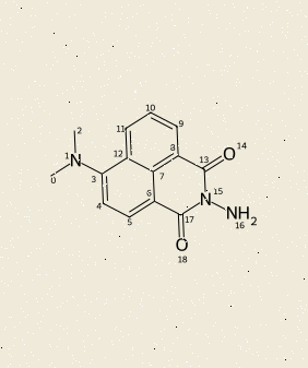 CN(C)c1ccc2c3c(cccc13)C(=O)N(N)C2=O